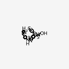 CN1CCC(Oc2cc3nc(Nc4ccc(Cn5cccn5)cc4)ncc3cc2-c2nc(CO)cs2)CC1